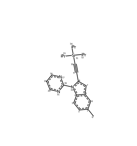 Cc1ccc2c(c1)cc(C#C[Si](C(C)C)(C(C)C)C(C)C)n2-c1ncccn1